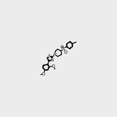 COc1ccc(-c2csc(N3CCC(S(=O)(=O)c4ccc(C)cc4)CC3)n2)c(OC)c1